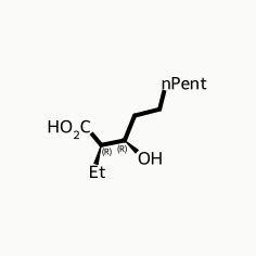 CCCCCCC[C@@H](O)[C@@H](CC)C(=O)O